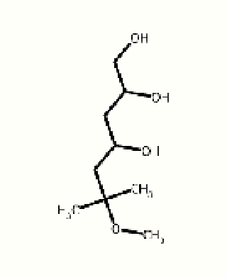 COC(C)(C)CC(O)CC(O)CO